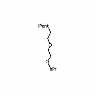 CCCOCCOCCC(C)CCC